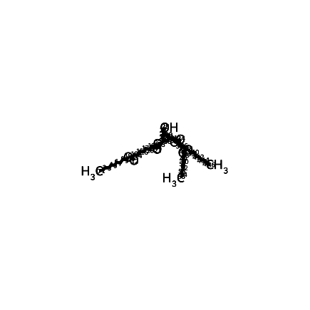 CCCCCCCCCCOC(=O)CCCCCCCC(=O)OCc1cc(CO)cc(COC(=O)CCC(OCCCCCCCC)OCCCCCCCC)c1